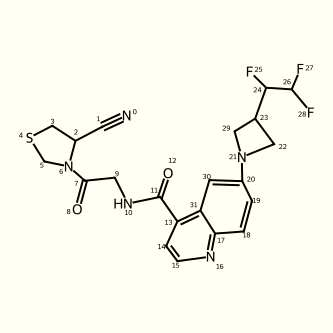 N#CC1CSCN1C(=O)CNC(=O)c1ccnc2ccc(N3CC(C(F)C(F)F)C3)cc12